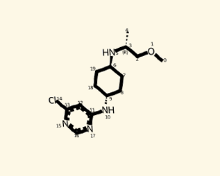 COC[C@@H](C)N[C@H]1CC[C@H](Nc2cc(Cl)ncn2)CC1